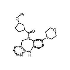 CC(C)O[C@@H]1CC[C@H](C(=O)N2Cc3cccnc3Nc3ccc(N4CCOCC4)cc32)C1